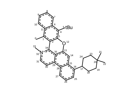 Cc1c2c(c(C(C)(C)C)c3ccccc13)Oc1cc3c(C4CCC(C)(C)CC4)cccc3c3cc[n+](C)c-2c13